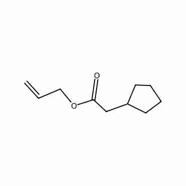 C=CCOC(=O)CC1CCCC1